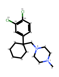 CN1CCN(CC2(c3ccc(Cl)c(Cl)c3)CCCCC2)CC1